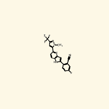 Cn1nc(C(F)(F)F)cc1-c1ccc2[nH]c(-c3ccc(F)cc3C#N)cc2n1